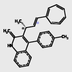 C=C1Nc2ccccc2C(c2ccc(C)cc2)=C1[C@H](C)/C=C/C1=CC=CC=C=C1